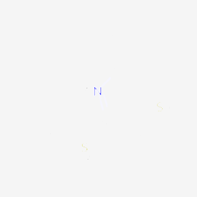 CCSC1=NC(C)=CSC1